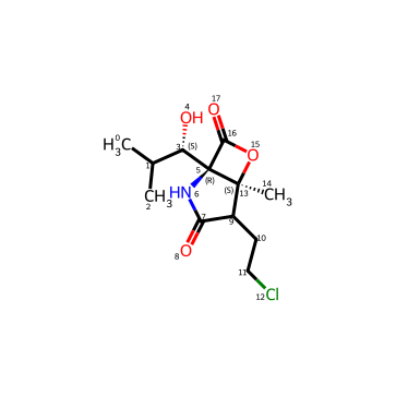 CC(C)[C@H](O)[C@@]12NC(=O)C(CCCl)[C@]1(C)OC2=O